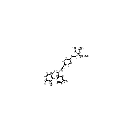 CC(=O)NC(CO)(CO)CCc1ccc(C#CC(Cc2ccc(C)c(C)c2)c2cccc(C)c2)cc1